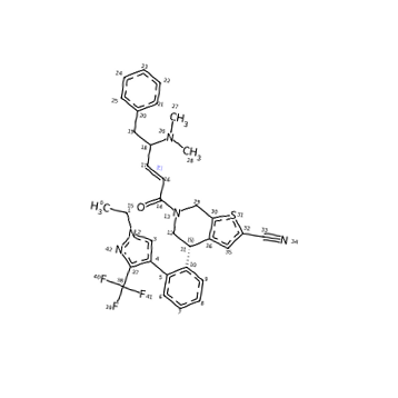 CCn1cc(-c2ccccc2[C@@H]2CN(C(=O)/C=C/C(Cc3ccccc3)N(C)C)Cc3sc(C#N)cc32)c(C(F)(F)F)n1